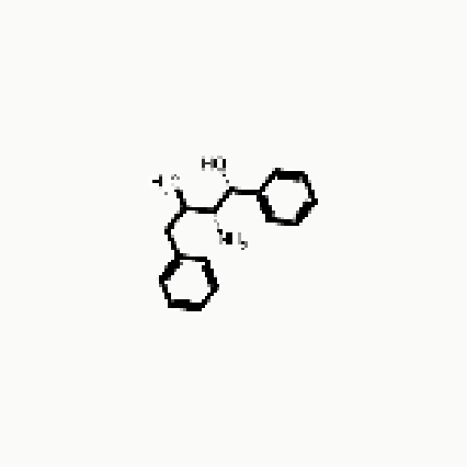 CC(Cc1ccccc1)[C@@H](N)[C@H](O)c1ccccc1